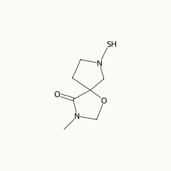 CN1COC2(CCN(S)C2)C1=O